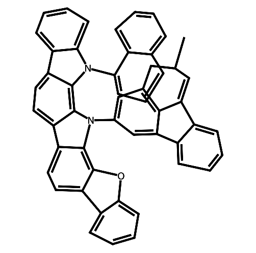 CC1C=C2c3ccccc3-c3cc(-n4c5c(ccc6c7ccccc7oc65)c5ccc6c7ccccc7n(-c7cccc8ccccc78)c6c54)cc(c32)C1